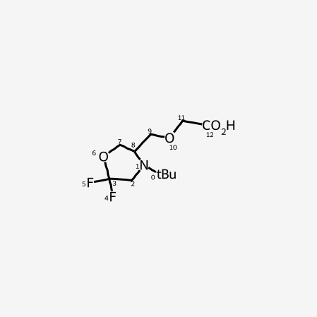 CC(C)(C)N1CC(F)(F)OCC1COCC(=O)O